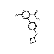 Cc1ncc(C(N)=O)c(-c2ccc(OC3CNC3)cc2)n1